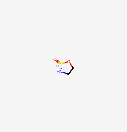 O=[S@]1NCCO1